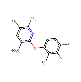 Cc1c(Oc2nc(C(F)(F)F)c(Cl)cc2C(=O)O)ccc(F)c1F